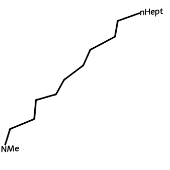 [CH2]NCCCCCCCCCCCCCCCC